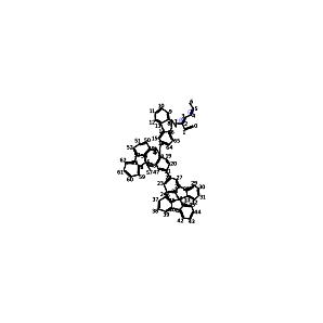 C=C/C(=C\C=C/C)n1c2ccccc2c2cc(N(c3ccc(-c4ccc5c(c4)-c4ccccc4C54c5ccccc5-c5ccccc54)cc3)c3cccc4c3C(C)(C)c3ccccc3-4)ccc21